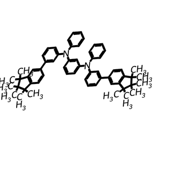 CC1(C)c2ccc(-c3cccc(N(c4ccccc4)c4cccc(N(c5ccccc5)c5cccc(-c6ccc7c(c6)C(C)(C)C(C)(C)C7(C)C)c5)c4)c3)cc2C(C)(C)C1(C)C